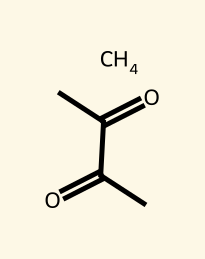 C.CC(=O)C(C)=O